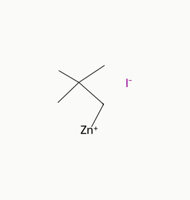 CC(C)(C)[CH2][Zn+].[I-]